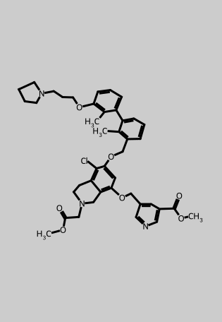 COC(=O)CN1CCc2c(Cl)c(OCc3cccc(-c4cccc(OCCCN5CCCC5)c4C)c3C)cc(OCc3cncc(C(=O)OC)c3)c2C1